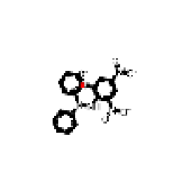 O=[N+]([O-])c1cc([N+](=O)[O-])c(NN(c2ccccc2)c2ccccc2)c([N+](=O)[O-])c1